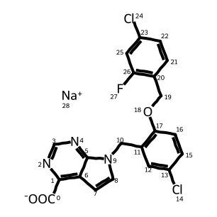 O=C([O-])c1ncnc2c1ccn2Cc1cc(Cl)ccc1OCc1ccc(Cl)cc1F.[Na+]